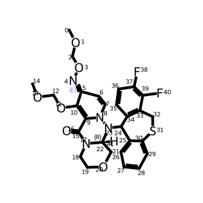 COCO/N=c1\ccn2c(c1OCOC)C(=O)N1CCOC[C@H]1N2C1c2ccccc2SCc2c1ccc(F)c2F